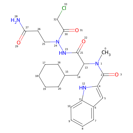 CN(C(=O)c1cc2ccccc2[nH]1)C(CC1CCCCC1)C(=O)NN(CCC(N)=O)C(=O)CCl